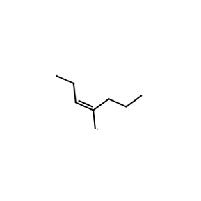 [CH2]/C(=C/CC)CCC